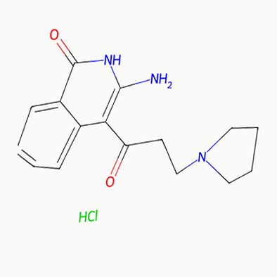 Cl.Nc1[nH]c(=O)c2ccccc2c1C(=O)CCN1CCCC1